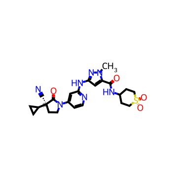 Cn1nc(Nc2cc(N3CC[C@@](C#N)(C4CC4)C3=O)ccn2)cc1C(=O)NC1CCS(=O)(=O)CC1